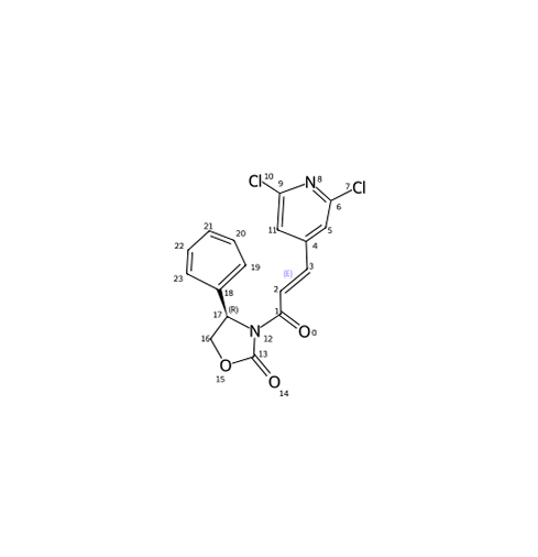 O=C(/C=C/c1cc(Cl)nc(Cl)c1)N1C(=O)OC[C@H]1c1ccccc1